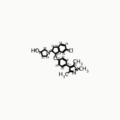 Cc1nn(C)c(C)c1-c1ccc(O[C@@H]2c3cc(Cl)ccc3C[C@@H]2N2CC[C@@H](O)C2)cc1